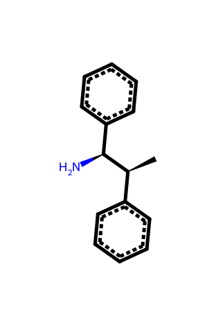 C[C@@H](c1ccccc1)[C@@H](N)c1ccccc1